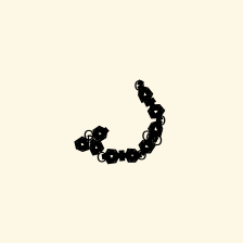 COc1ccc(C(C)(C)c2ccc(Oc3ccc(S(=O)(=O)c4ccc(Oc5ccc(C(C)(C)c6ccc(Oc7ccc(P(=O)(c8ccccc8)c8ccc(C)cc8)cc7)cc6)cc5)cc4)cc3)cc2)cc1